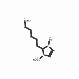 CCCCCCCCCCCCCCCC1N(CCCCCCCCCC)C=CN1C(C)C